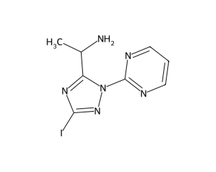 CC(N)c1nc(I)nn1-c1ncccn1